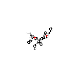 CCCCN1C(=O)C(NCc2ccc3c(c2)OCO3)=C(c2ccccc2)S1(=O)=O.COCCN1C(=O)C(NC2Cc3ccccc3C2)=C(c2ccccc2)S1(=O)=O.O=C1C(NCCCCc2ccccc2)=C(c2ccccc2)S(=O)(=O)N1Cc1ccncc1